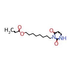 C=CC(=O)OCCCCCCCCn1c(=O)cc[nH]c1=O